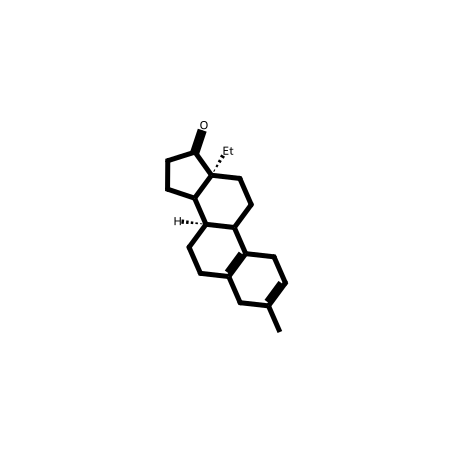 CC[C@]12CCC3C4=C(CC[C@H]3C1CCC2=O)CC(C)=CC4